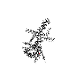 CCCCCCCCC(CCCCCC)CN1C(=O)C2=C(c3ccc(-c4ccc(-c5ccc(-c6cccs6)s5)s4)s3)N(CC(CCCCCC)CCCCCCCC)C(=O)C2=C1c1ccc(-c2ccc(C3=C4C(=O)N(CC(CCCCCC)CCCCCCCC)C(c5ccc(-c6ccc(-c7ccc(-c8cccs8)s7)s6)s5)=C4C(=O)N3CC(CCCCCC)CCCCCCCC)s2)s1